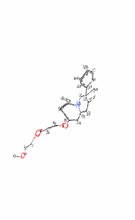 COCCOCCOC1CCN2CC(C)(c3ccccc3)CCC2C1